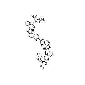 COC(=O)N[C@@H](C(=O)N1CCC[C@H]1c1nc2ccc3cc(-c4ccc5c(ccc6nc([C@@H]7CCCN7C(=O)CNC(C)C)[nH]c65)n4)ccc3c2[nH]1)C(C)C